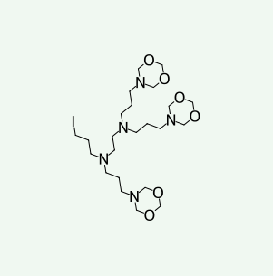 ICCCN(CCCN1COCOC1)CCN(CCCN1COCOC1)CCCN1COCOC1